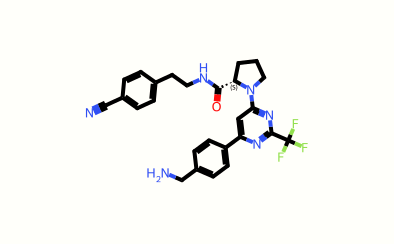 N#Cc1ccc(CCNC(=O)[C@@H]2CCCN2c2cc(-c3ccc(CN)cc3)nc(C(F)(F)F)n2)cc1